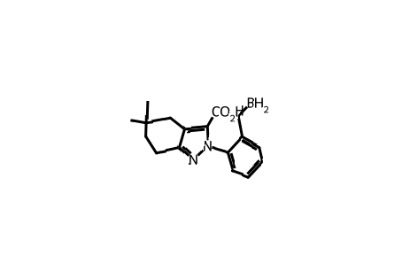 BCc1ccccc1-n1nc2c(c1C(=O)O)CC(C)(C)CC2